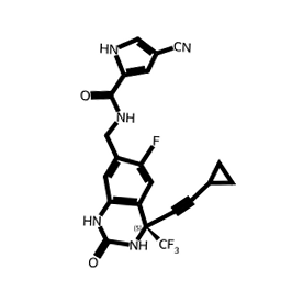 N#Cc1c[nH]c(C(=O)NCc2cc3c(cc2F)[C@@](C#CC2CC2)(C(F)(F)F)NC(=O)N3)c1